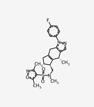 Cc1noc(C)c1S(=O)(=O)N(C)C[C@H]1CCC2=C1[C@@H](C)c1cnn(-c3ccc(F)cc3)c1C2